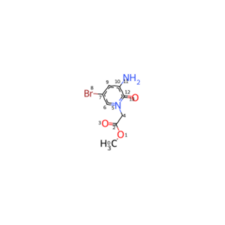 COC(=O)Cn1cc(Br)cc(N)c1=O